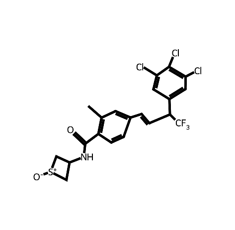 Cc1cc(/C=C/C(c2cc(Cl)c(Cl)c(Cl)c2)C(F)(F)F)ccc1C(=O)NC1C[S+]([O-])C1